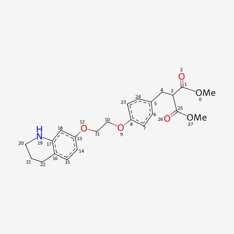 COC(=O)C(Cc1ccc(OCCOc2ccc3c(c2)NCCC3)cc1)C(=O)OC